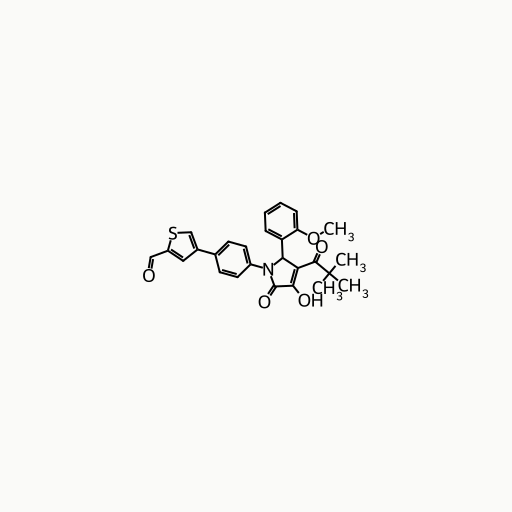 COc1ccccc1C1C(C(=O)C(C)(C)C)=C(O)C(=O)N1c1ccc(-c2csc(C=O)c2)cc1